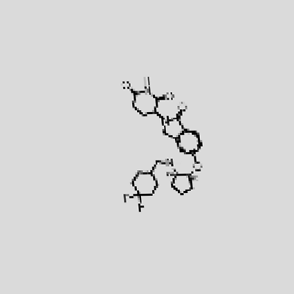 O=C1CCC(N2Cc3cc(O[C@@H]4CCC[C@@H]4NCC4CCC(F)(F)CC4)ccc3C2=O)C(=O)N1